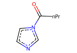 CCCC(=O)n1ccnc1